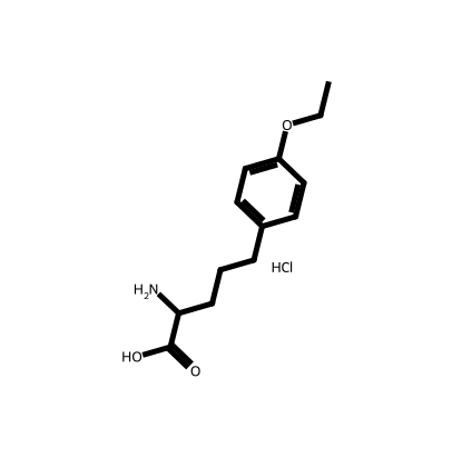 CCOc1ccc(CCCC(N)C(=O)O)cc1.Cl